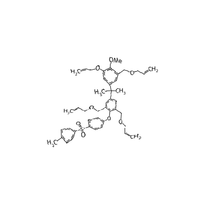 C=CCOCc1cc(C(C)(C)c2cc(COCC=C)c(OC)c(OCC=C)c2)cc(COCC=C)c1Oc1ccc(S(=O)(=O)c2ccc(C)cc2)cc1